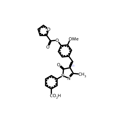 COc1cc(/C=C2\C(=O)N(c3cccc(C(=O)O)c3)N=C2C)ccc1OC(=O)c1ccco1